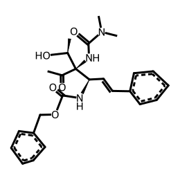 CC(=O)[C@](NC(=O)N(C)C)([C@H](C)O)[C@@H](/C=C/c1ccccc1)NC(=O)OCc1ccccc1